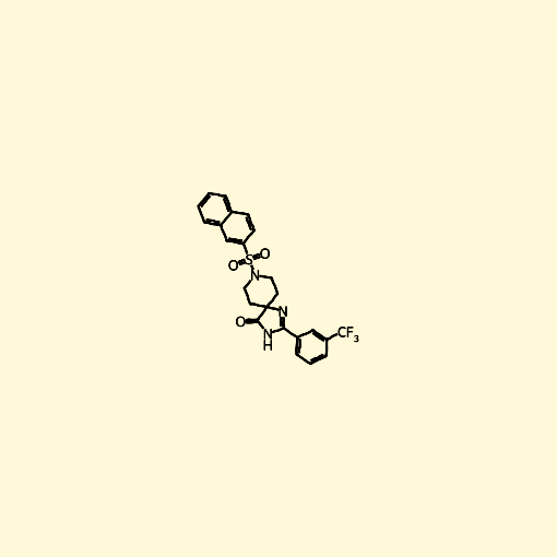 O=C1NC(c2cccc(C(F)(F)F)c2)=NC12CCN(S(=O)(=O)c1ccc3ccccc3c1)CC2